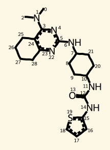 CN(C)c1nc(NC2CCC(NC(=O)Nc3cccs3)CC2)nc2c1CCCC2